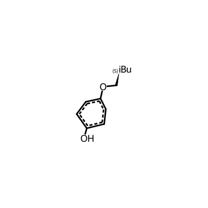 CC[C@H](C)COc1ccc(O)cc1